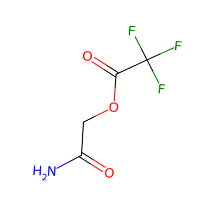 NC(=O)COC(=O)C(F)(F)F